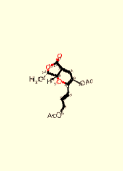 CC(=O)OC/C=C/[C@H]1O[C@H]2C(=C[C@H]1OC(C)=O)C(=O)O[C@H]2C